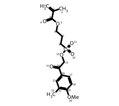 C=C(C)C(=O)OCCCS(=O)(=O)OCC(=O)c1ccc(OC)c(C)c1